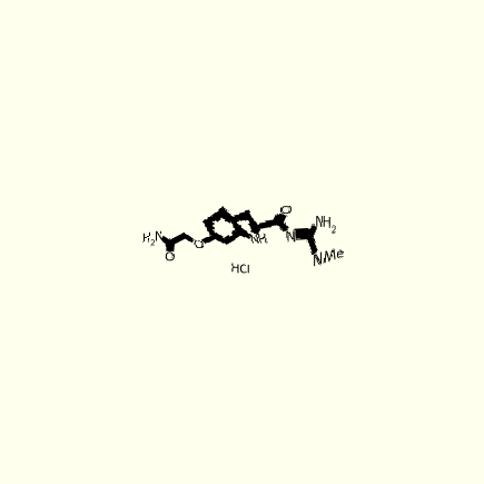 CNC(N)=NC(=O)c1cc2ccc(OCC(N)=O)cc2[nH]1.Cl